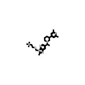 Cc1cc(C2CCCN(C(C)c3cnc4c(c3)nc(C)n4COCCS(C)(C)C)C2)cc(C)n1